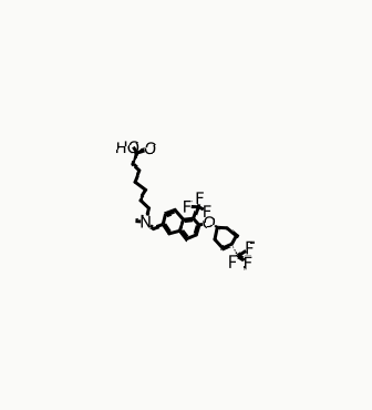 CN(CCCCCCC(=O)O)Cc1ccc2c(C(F)(F)F)c(O[C@H]3CC[C@@H](C(F)(F)F)CC3)ccc2c1